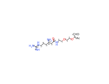 CC(=O)C([C]=O)OCCOCCNC(=O)C[C@H](N)CCCNC(=N)N